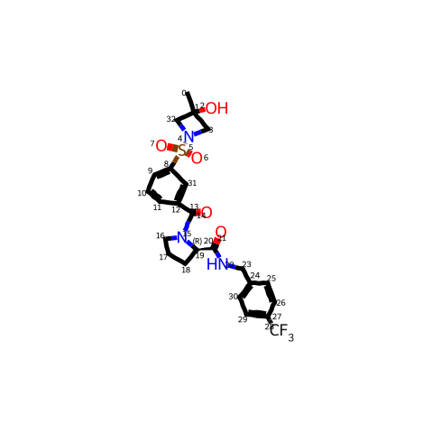 CC1(O)CN(S(=O)(=O)c2cccc(C(=O)N3CCC[C@@H]3C(=O)NCc3ccc(C(F)(F)F)cc3)c2)C1